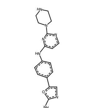 Nc1ncc(-c2ccc(Nc3ccnc(N4CCNCC4)n3)cc2)o1